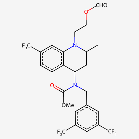 COC(=O)N(Cc1cc(C(F)(F)F)cc(C(F)(F)F)c1)C1CC(C)N(CCOC=O)c2cc(C(F)(F)F)ccc21